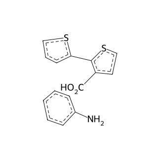 Nc1ccccc1.O=C(O)c1ccsc1-c1cccs1